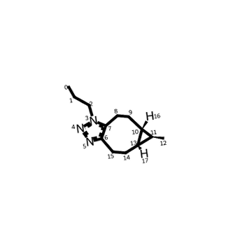 CCCn1nnc2c1CC[C@@H]1[C@@H](C)[C@@H]1CC2